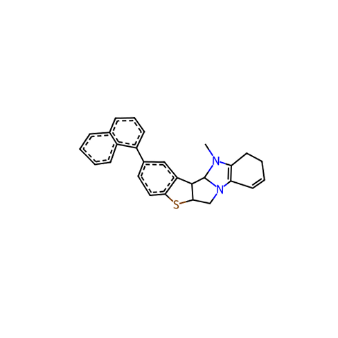 CN1C2=C(C=CCC2)N2CC3Sc4ccc(-c5cccc6ccccc56)cc4C3C12